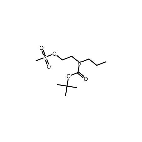 CCCN(CCOS(C)(=O)=O)C(=O)OC(C)(C)C